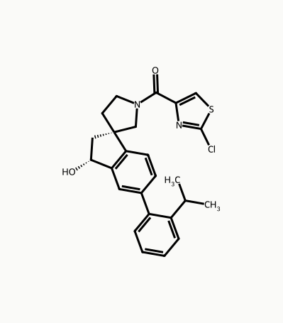 CC(C)c1ccccc1-c1ccc2c(c1)[C@H](O)C[C@@]21CCN(C(=O)c2csc(Cl)n2)C1